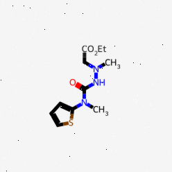 CCOC(=O)CN(C)NC(=O)N(C)c1cccs1